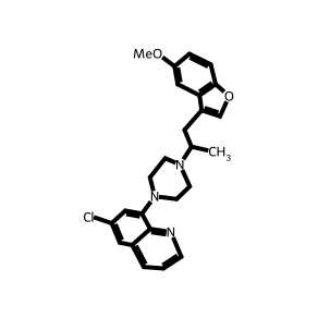 COc1ccc2occ(CC(C)N3CCN(c4cc(Cl)cc5cccnc45)CC3)c2c1